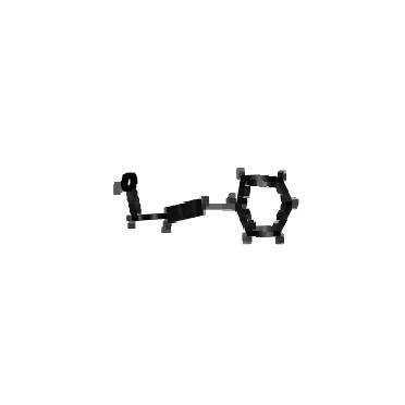 O=[C]C#Cc1ccccc1